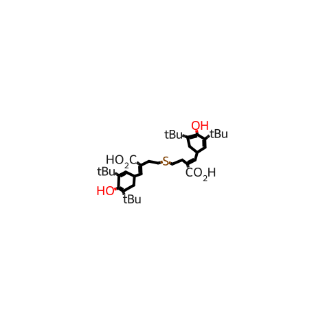 CC(C)(C)C1=CC(C=C(CCSCCC(=CC2C=C(C(C)(C)C)C(O)=C(C(C)(C)C)C2)C(=O)O)C(=O)O)CC(C(C)(C)C)=C1O